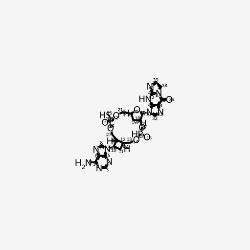 Nc1ncnc2c1ncn2[C@@H]1C[C@@H]2CO[PH](=O)O[C@@H]3C[C@@H](CO[P@](=O)(S)OC[C@H]21)O[C@H]3n1cnc2c(=O)n3ccnc3[nH]c21